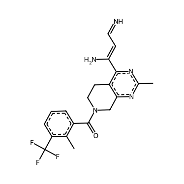 Cc1nc2c(c(/C(N)=C/C=N)n1)CCN(C(=O)c1cccc(C(F)(F)F)c1C)C2